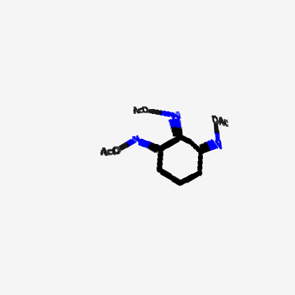 CC(=O)O/N=C1/CCCC(=N\OC(C)=O)/C1=N\OC(C)=O